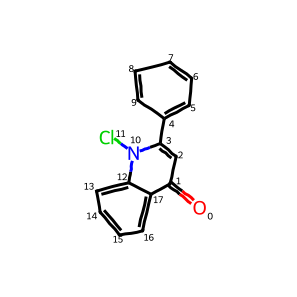 O=c1cc(-c2ccccc2)n(Cl)c2ccccc12